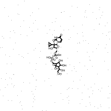 O=c1ccn([C@@H]2O[C@H](COP(=O)(S)OP(=O)(O)OC3OC4(O)C3C(O)C(O)C4[C@@H](O)CO)[C@@H](O)[C@]2(F)C2CC2)c(=O)[nH]1